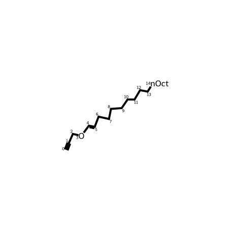 C#CCO/C=C/CCCCCCCCCCCCCCCC